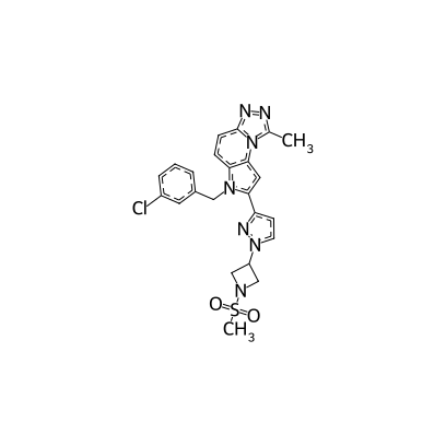 Cc1nnc2ccc3c(cc(-c4ccn(C5CN(S(C)(=O)=O)C5)n4)n3Cc3cccc(Cl)c3)n12